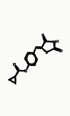 O=C1NC(=O)C(=Cc2ccc(OC(=O)C3CC3)cc2)S1